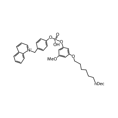 CCCCCCCCCCCCCCCCOc1cc(OC)cc(OP(=O)(O)Oc2ccc(C[n+]3cccc4ccccc43)cc2)c1